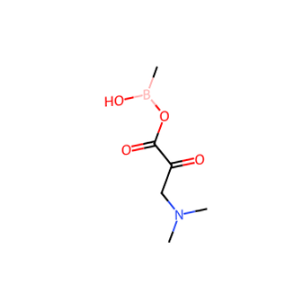 CB(O)OC(=O)C(=O)CN(C)C